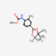 Cc1cc(B2OC(C)(C)C(C)(C)O2)ccc1NC(=O)OC(C)(C)C